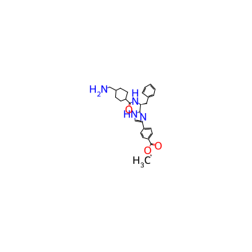 CCOC(=O)c1ccc(-c2c[nH]c([C@H](Cc3ccccc3)NC(=O)C3CCC(CN)CC3)n2)cc1